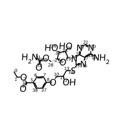 CCOC(=O)c1ccc(OCC(O)CSc2nc3c(N)ncnc3n2[C@@H]2O[C@H](COC(N)=O)[C@@H](O)[C@H]2O)cc1